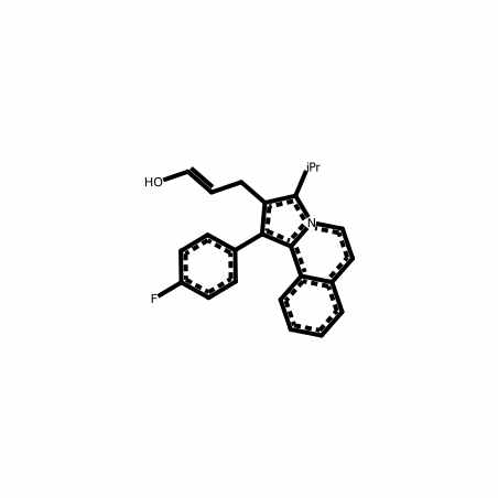 CC(C)c1c(C/C=C/O)c(-c2ccc(F)cc2)c2c3ccccc3ccn12